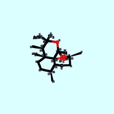 CC(=O)N[C@@]1(C(F)(F)F)O[C@@H]2O[C@]3(C)CCC4[C@H](C)CC[C@@H]([C@H]1C)[C@]42OO3